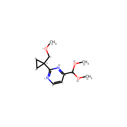 COCC1(c2nccc(C(OC)OC)n2)CC1